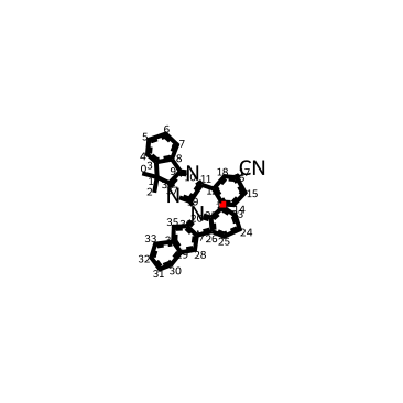 CC1(C)c2ccccc2-c2nc(-c3cccc(C#N)c3)c(-n3c4ccccc4c4cc5ccccc5cc43)nc21